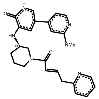 CNc1cc(-c2c[nH]c(=O)c(N[C@@H]3CCCN(C(=O)C=CCc4ccccn4)C3)c2)ccn1